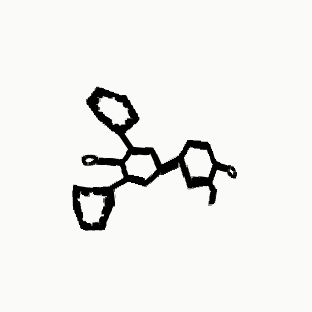 CC1=CC(=C2C=C(c3ccccc3)C(=O)C(c3ccccc3)=C2)C=CC1=O